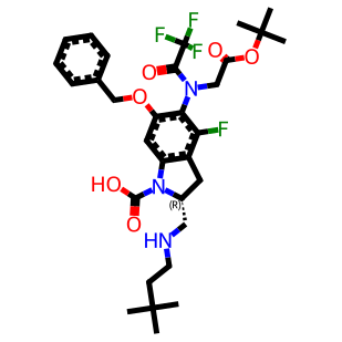 CC(C)(C)CCNC[C@H]1Cc2c(cc(OCc3ccccc3)c(N(CC(=O)OC(C)(C)C)C(=O)C(F)(F)F)c2F)N1C(=O)O